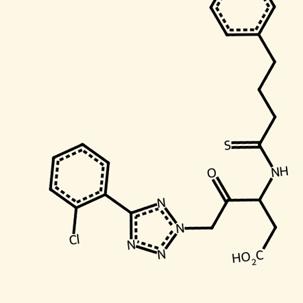 O=C(O)CC(NC(=S)CCCc1ccccc1)C(=O)Cn1nnc(-c2ccccc2Cl)n1